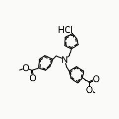 COC(=O)c1ccc(CN(Cc2ccccc2)Cc2ccc(C(=O)OC)cc2)cc1.Cl